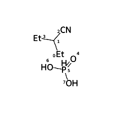 CCC(C#N)CC.O=[PH](O)O